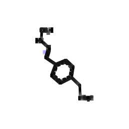 CCCCCCCCc1ccc(/C=N/NC(=O)O)cc1